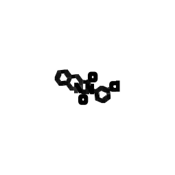 O=C1C2Cc3ccccc3CN2C(=O)N1c1cccc(Cl)c1